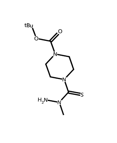 CN(N)C(=S)N1CCN(C(=O)OC(C)(C)C)CC1